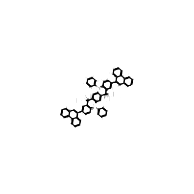 CC1(C)c2cc(-c3cc4ccccc4c4ccccc34)ccc2N(c2ccccc2)c2cc3c(cc21)N(c1ccccc1)c1ccc(-c2cc4ccccc4c4ccccc24)cc1C3(C)C